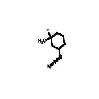 CC1(F)CCC[C@@H](N=[N+]=[N-])C1